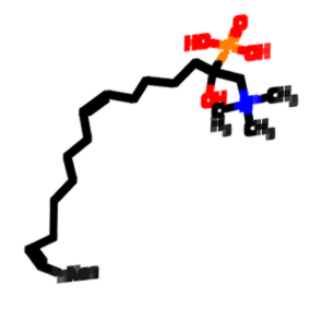 CCCCCCCCC/C=C\CCCCC/C=C\CCCCC(O)(C[N+](C)(C)C)P(=O)(O)O